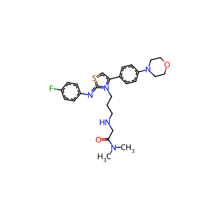 CN(C)C(=O)CNCCCn1c(-c2ccc(N3CCOCC3)cc2)cs/c1=N\c1ccc(F)cc1